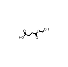 O=C(O)CCC(=O)OCO